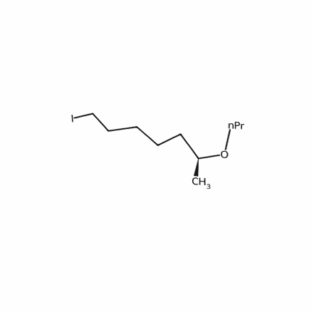 CCCO[C@@H](C)CCCCCI